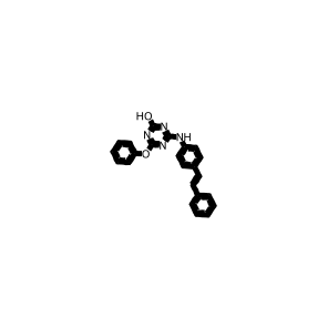 Oc1nc(Nc2ccc(C=Cc3ccccc3)cc2)nc(Oc2ccccc2)n1